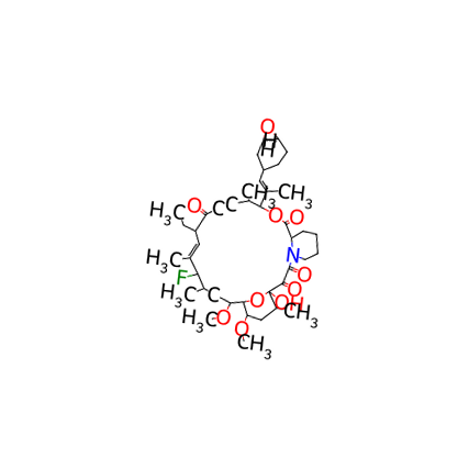 CCC1/C=C(\C)C(F)C(C)CC(OC)C2OC(O)(C(=O)C(=O)N3CCCCC3C(=O)OC(C(C)=CC3CC[C@@H]4O[C@@H]4C3)C(C)CCC1=O)C(C)CC2OC